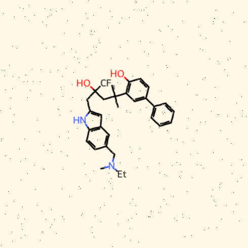 CCN(C)Cc1ccc2[nH]c(CC(O)(CC(C)(C)c3cc(-c4ccccc4)ccc3O)C(F)(F)F)cc2c1